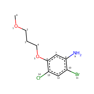 COCCCOc1cc(N)c(Br)cc1Cl